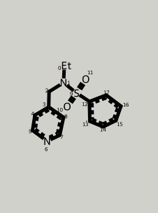 CCN(Cc1ccncc1)S(=O)(=O)c1[c]cccc1